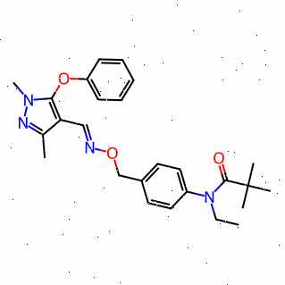 CCN(C(=O)C(C)(C)C)c1ccc(CON=Cc2c(C)nn(C)c2Oc2ccccc2)cc1